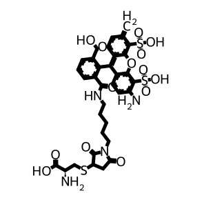 C=c1ccc2c(c1S(=O)(=O)O)Oc1c(ccc(N)c1S(=O)(=O)O)C=2c1c(C(=O)O)cccc1C(=O)NCCCCCN1C(=O)CC(SC[C@H](N)C(=O)O)C1=O